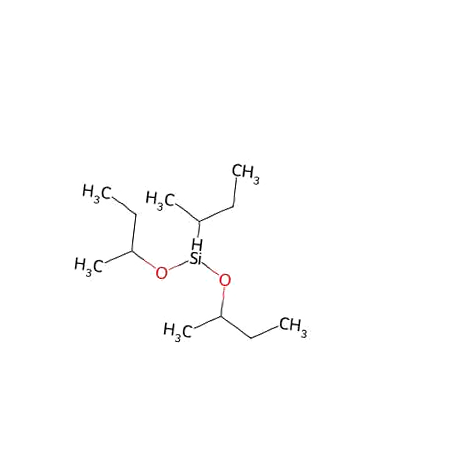 CCC(C)O[SiH](OC(C)CC)C(C)CC